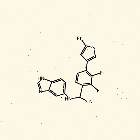 CCc1cc(-c2ccc(C(C#N)Nc3ccc4[nH]cnc4c3)c(F)c2F)cs1